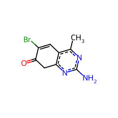 Cc1nc(N)nc2c1C=C(Br)C(=O)C2